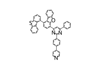 c1ccc(-c2cc(-c3ccc(-c4cccc5sc6ccccc6c45)c4c3oc3ccccc34)nc(-c3ccc(-c4ccncc4)cc3)n2)cc1